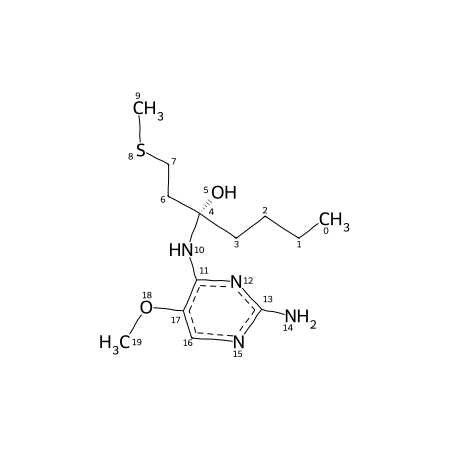 CCCC[C@](O)(CCSC)Nc1nc(N)ncc1OC